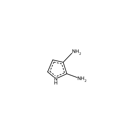 Nc1cc[nH]c1N